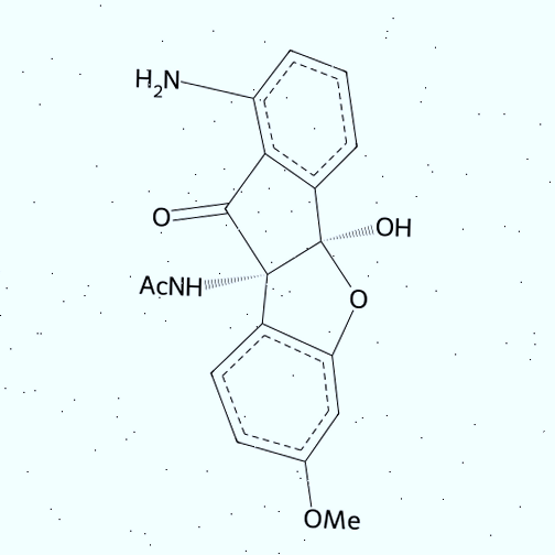 COc1ccc2c(c1)O[C@]1(O)c3cccc(N)c3C(=O)[C@]21NC(C)=O